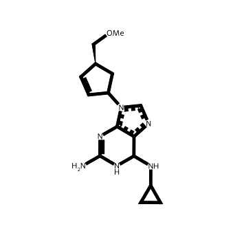 COC[C@@H]1C=CC(n2cnc3c2N=C(N)NC3NC2CC2)C1